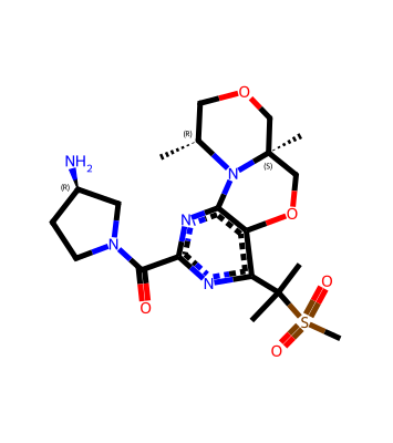 C[C@@H]1COC[C@@]2(C)COc3c(nc(C(=O)N4CC[C@@H](N)C4)nc3C(C)(C)S(C)(=O)=O)N12